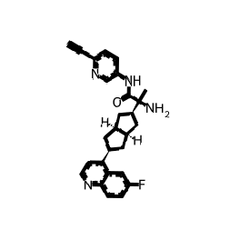 C#Cc1ccc(NC(=O)C(C)(N)[C@H]2C[C@H]3C[C@@H](c4ccnc5ccc(F)cc45)C[C@H]3C2)cn1